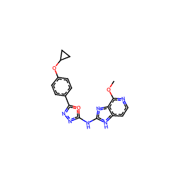 COc1nccc2[nH]c(Nc3nnc(-c4ccc(OC5CC5)cc4)o3)nc12